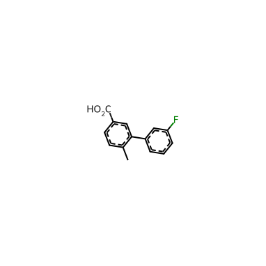 Cc1ccc(C(=O)O)cc1-c1cccc(F)c1